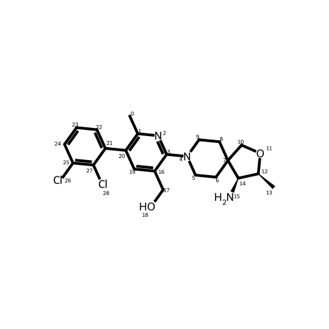 Cc1nc(N2CCC3(CC2)CO[C@@H](C)[C@H]3N)c(CO)cc1-c1cccc(Cl)c1Cl